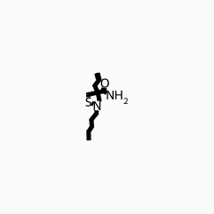 C=CCC1(C(N)=O)CSN(CCCCC)C1